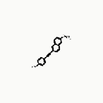 CCCc1ccc(C#Cc2ccc3cc(OC(F)(F)F)ccc3c2)cc1